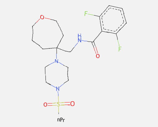 CCCS(=O)(=O)N1CCN(C2(CNC(=O)c3c(F)cccc3F)CCCOCC2)CC1